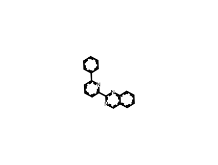 c1ccc(-c2cccc(-c3ncc4ccccc4n3)n2)cc1